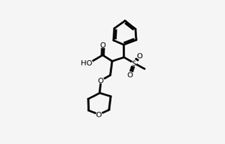 CS(=O)(=O)C(c1ccccc1)C(COC1CCOCC1)C(=O)O